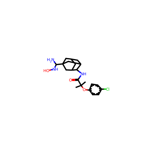 CC(C)(Oc1ccc(Cl)cc1)C(=O)NC1C2CC3CC1CC(C(N)NO)(C3)C2